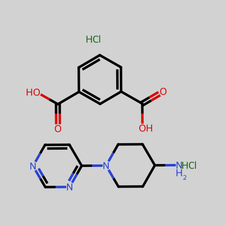 Cl.Cl.NC1CCN(c2ccncn2)CC1.O=C(O)c1cccc(C(=O)O)c1